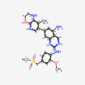 COc1cc(CS(C)(=O)=O)ccc1Nc1ncc2c(N)cc(-c3cnc4c(c3C)NCCO4)cc2n1